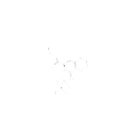 CCOC(=O)c1cc2c(c(OS(=O)(=O)C(F)(F)F)c1)CCCC2